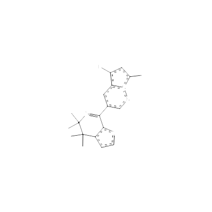 CC1(C)N=C(c2cnn3c(F)cc(F)c3c2)c2sccc2C1(C)C